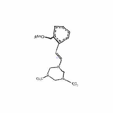 COc1ccccc1/C=C/N1CN(C(Cl)(Cl)Cl)CN(C(Cl)(Cl)Cl)C1